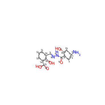 Nc1ccc(C(=O)N/N=C/c2cccc(C(=O)O)c2O)c(O)c1